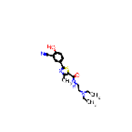 CCN(CC)CCNC(=O)c1sc(-c2ccc(O)c(C#N)c2)nc1C